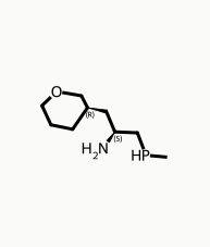 CPC[C@@H](N)C[C@H]1CCCOC1